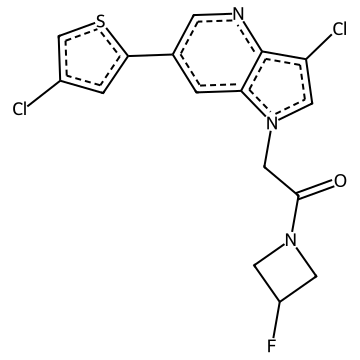 O=C(Cn1cc(Cl)c2ncc(-c3cc(Cl)cs3)cc21)N1CC(F)C1